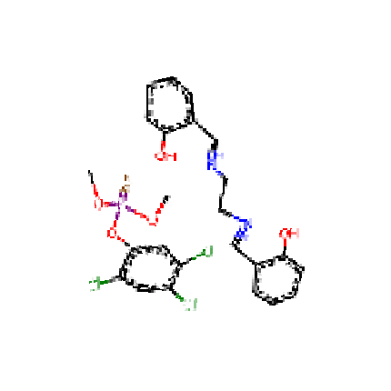 COP(=S)(OC)Oc1cc(Cl)c(Cl)cc1Cl.Oc1ccccc1/C=N/CC/N=C/c1ccccc1O